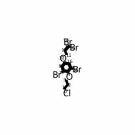 ClCCCOc1c(Br)cc(OCC=C(Br)Br)cc1Br